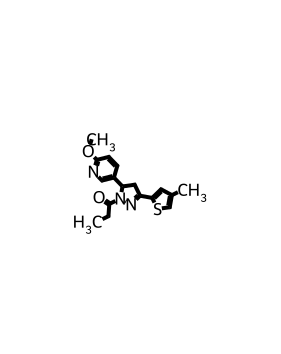 CCC(=O)N1N=C(c2cc(C)cs2)CC1c1ccc(OC)nc1